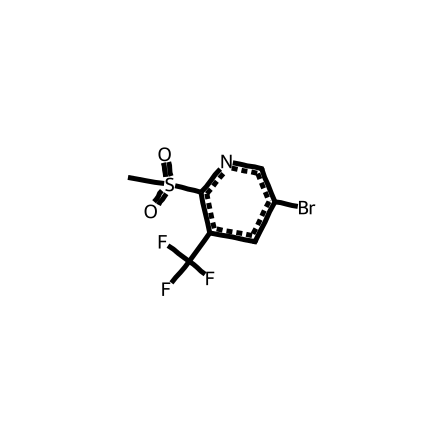 CS(=O)(=O)c1ncc(Br)cc1C(F)(F)F